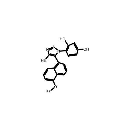 CC(C)Oc1cccc2c(-c3c(S)nnn3-c3ccc(O)cc3O)cccc12